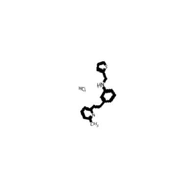 Cc1cccc(C=Cc2cccc(NCc3cccs3)c2)n1.Cl